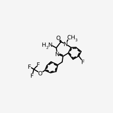 CN1C(=O)C(N)N=C(Cc2ccc(OC(F)(F)F)cc2)c2cc(F)ccc21